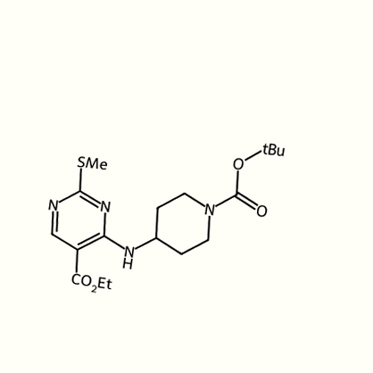 CCOC(=O)c1cnc(SC)nc1NC1CCN(C(=O)OC(C)(C)C)CC1